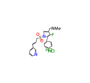 CNCc1cn(S(=O)(=O)CC=Cc2cccnc2)c(-c2ccccc2)c1F.Cl.Cl